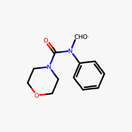 O=[C]N(C(=O)N1CCOCC1)c1ccccc1